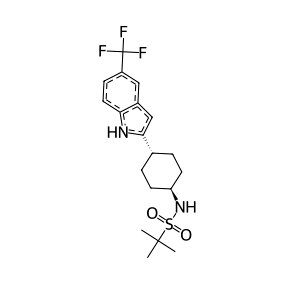 CC(C)(C)S(=O)(=O)N[C@H]1CC[C@H](c2cc3cc(C(F)(F)F)ccc3[nH]2)CC1